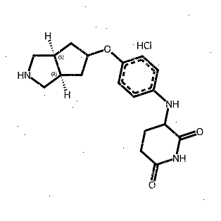 Cl.O=C1CCC(Nc2ccc(OC3C[C@H]4CNC[C@H]4C3)cc2)C(=O)N1